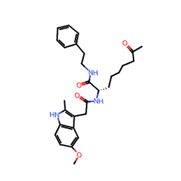 COc1ccc2[nH]c(C)c(CC(=O)N[C@@H](CCCCCC(C)=O)C(=O)NCCc3ccccc3)c2c1